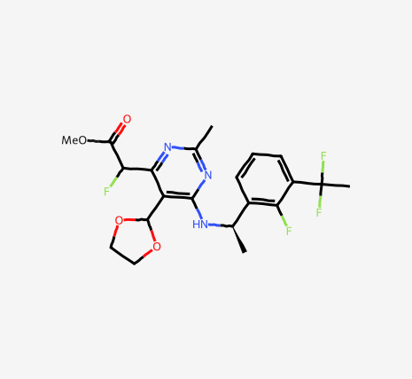 COC(=O)C(F)c1nc(C)nc(N[C@H](C)c2cccc(C(C)(F)F)c2F)c1C1OCCO1